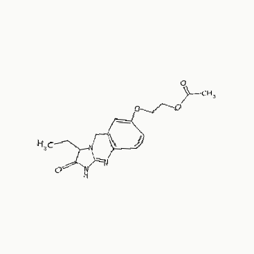 CCC1C(=O)NC2=Nc3ccc(OCCOC(C)=O)cc3CN21